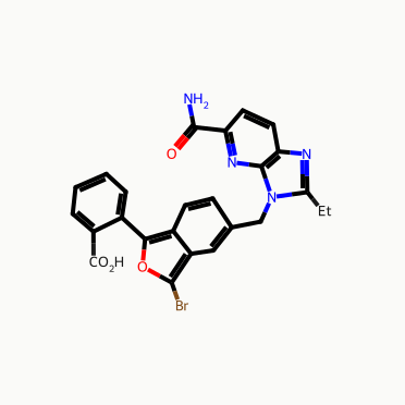 CCc1nc2ccc(C(N)=O)nc2n1Cc1ccc2c(-c3ccccc3C(=O)O)oc(Br)c2c1